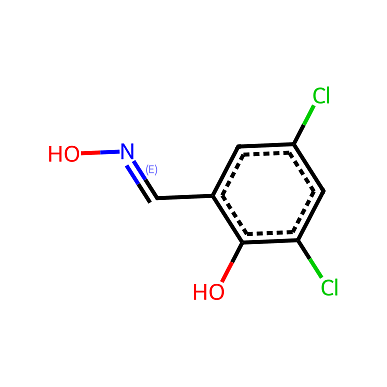 O/N=C/c1cc(Cl)cc(Cl)c1O